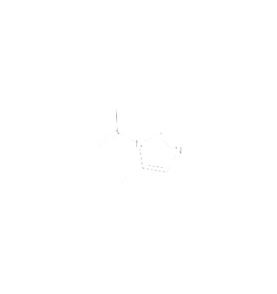 C=C(C)n1ccnc1.O